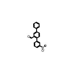 O=Cc1cc(-c2ccccc2)ccc1-c1cccc([N+](=O)[O-])c1